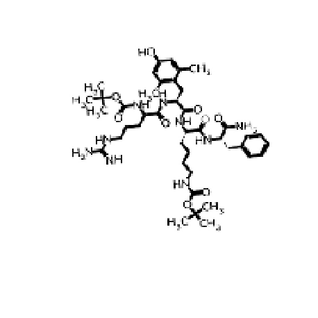 Cc1cc(O)cc(C)c1C[C@H](NC(=O)C(CCCNC(=N)N)NC(=O)OC(C)(C)C)C(=O)N[C@@H](CCCCNC(=O)OC(C)(C)C)C(=O)N[C@@H](Cc1ccccc1)C(N)=O